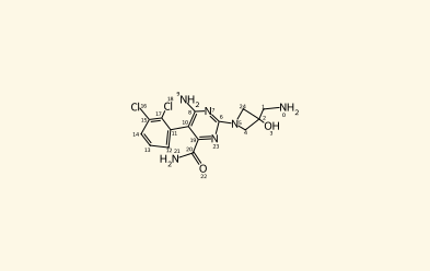 NCC1(O)CN(c2nc(N)c(-c3cccc(Cl)c3Cl)c(C(N)=O)n2)C1